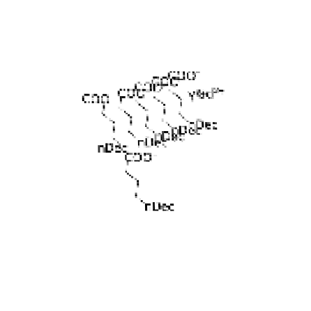 CCCCCCCCCCCCCC(=O)[O-].CCCCCCCCCCCCCC(=O)[O-].CCCCCCCCCCCCCC(=O)[O-].CCCCCCCCCCCCCC(=O)[O-].CCCCCCCCCCCCCC(=O)[O-].CCCCCCCCCCCCCC(=O)[O-].[Gd+3].[Y+3]